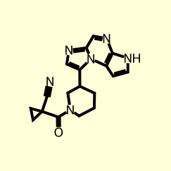 N#CC1(C(=O)N2CCCC(c3cnc4cnc5[nH]ccc5n34)C2)CC1